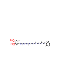 CC1=C(/C=C/C(C)=C/C=C/C(C)=C/C=C/C=C(C)/C=C/C=C(C)/C=C/C2=C(C)CC(O)C(O)C2(C)C)C(C)(C)CCC1